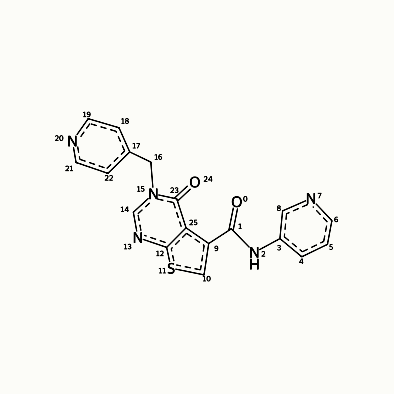 O=C(Nc1cccnc1)c1csc2ncn(Cc3ccncc3)c(=O)c12